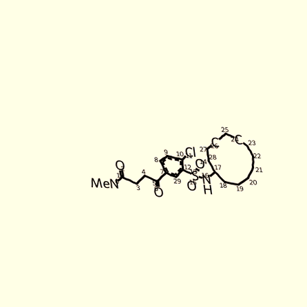 CNC(=O)CCC(=O)c1ccc(Cl)c(S(=O)(=O)NC2CCCCCCCCCCC2)c1